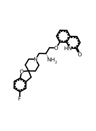 N[C@@H](COc1cccc2ccc(=O)[nH]c12)CN1CCC2(CC1)Cc1cc(F)ccc1O2